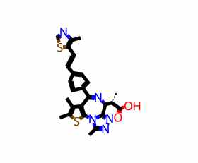 Cc1ncsc1C=Cc1ccc(C2=NC([C@H](C)C(=O)O)c3nnc(C)n3-c3sc(C)c(C)c32)cc1